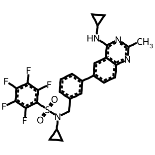 Cc1nc(NC2CC2)c2cc(-c3cccc(CN(C4CC4)S(=O)(=O)c4c(F)c(F)c(F)c(F)c4F)c3)ccc2n1